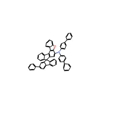 c1ccc(-c2ccc(N(c3ccc(-c4ccccc4)cc3)c3cc4c(c5c3oc3ccccc35)-c3ccccc3C43c4ccccc4-c4ccc(-c5ccccc5)cc43)cc2)cc1